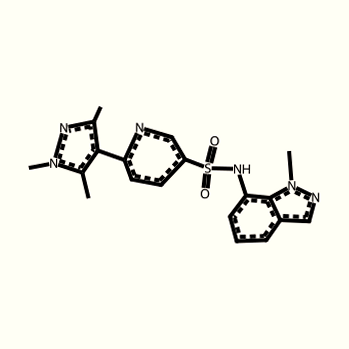 Cc1nn(C)c(C)c1-c1ccc(S(=O)(=O)Nc2cccc3cnn(C)c23)cn1